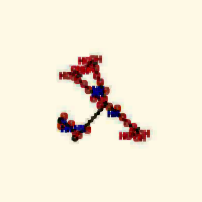 CC1C(OCCOCCOCCNC(=O)CCOCC(COCCC(=O)NCCOCCOCCOC2OC(CO)C(O)C(O)C2C)(COCCC(=O)NCCOCCOCCOC2OC(CO)C(O)C(O)C2C)CC(=O)CCCCCCCCCCC(=O)NCCOC2(OCCNC(=O)CCN3C(=O)C=CC3=O)CCCC2)OC(CO)C(O)C1O